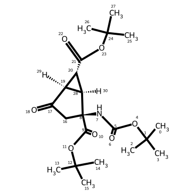 CC(C)(C)OC(=O)N[C@@]1(C(=O)OC(C)(C)C)CC(=O)[C@H]2[C@H](C(=O)OC(C)(C)C)[C@H]21